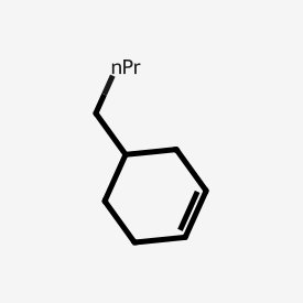 C[CH]CCC1CC=CCC1